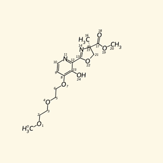 COCCOCCOc1ccnc(C2=N[C@@](C)(C(=O)OC)CO2)c1O